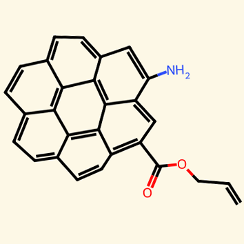 C=CCOC(=O)c1cc2c(N)cc3ccc4ccc5ccc6ccc1c1c6c5c4c3c21